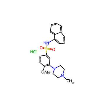 COc1ccc(S(=O)(=O)Nc2cccc3ccccc23)cc1N1CCN(C)CC1.Cl